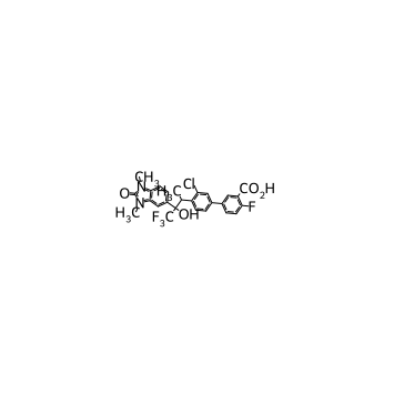 CC(c1ccc(-c2ccc(F)c(C(=O)O)c2)cc1Cl)C(O)(c1ccc2c(c1)n(C)c(=O)n2C)C(F)(F)F